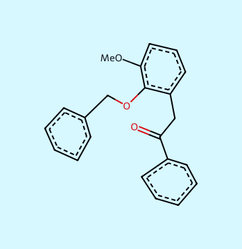 COc1cccc(CC(=O)c2ccccc2)c1OCc1ccccc1